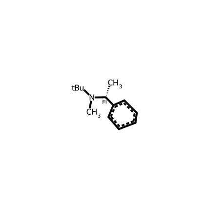 C[C@H](c1ccccc1)N(C)C(C)(C)C